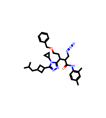 Cc1ccc(NC(=O)C(CN=[N+]=[N-])C(CCOCc2ccccc2)c2nnc(C3CC(CC(C)C)C3)n2C2CC2)c(C)c1